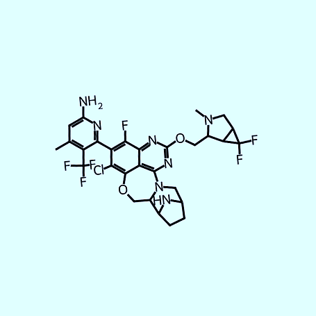 Cc1cc(N)nc(-c2c(Cl)c3c4c(nc(OCC5C6C(CN5C)C6(F)F)nc4c2F)N2CC4CCC(N4)C2CO3)c1C(F)(F)F